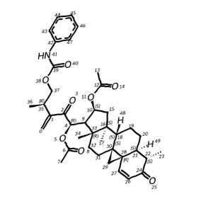 C=C(C(=O)[C@H](OC(C)=O)C1[C@@H](OC(C)=O)C[C@@]2(C)[C@@H]3CC[C@H]4[C@H](C)C(=O)C=C[C@@]45C[C@@]35CC[C@]12C)[C@@H](C)COC(=O)Nc1ccccc1